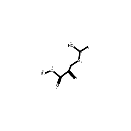 C=C(CSC(C)O)C(=O)OCC